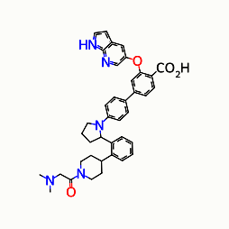 CN(C)CC(=O)N1CCC(c2ccccc2C2CCCN2c2ccc(-c3ccc(C(=O)O)c(Oc4cnc5[nH]ccc5c4)c3)cc2)CC1